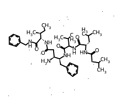 CC[C@H](C)[C@H](NC(=O)C[C@H](N)[C@H](Cc1ccccc1)NC(=O)C(NC(=O)[C@H](CC(C)C)NC(=O)CC(C)C)C(C)C)C(=O)NCc1ccccc1